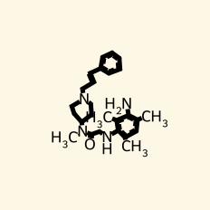 Cc1cc(C)c(NCC(=O)N(C)C2CCN(CC=Cc3ccccc3)CC2)c(C)c1N